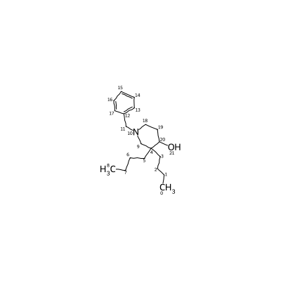 CCCCC1(CCCC)CN(Cc2ccccc2)CCC1O